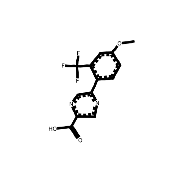 COc1ccc(-c2cnc(C(=O)O)cn2)c(C(F)(F)F)c1